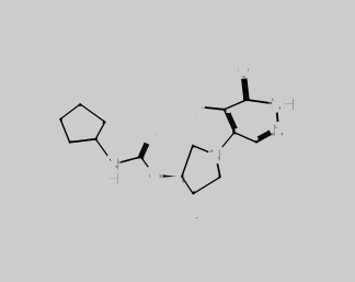 C[C@H]1CN(c2cn[nH]c(=O)c2Cl)C[C@@H]1OC(=O)NC1CCCC1